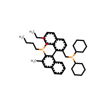 CCCCP(CCCC)c1c(C)cc2ccccc2c1-c1c(CP(C2CCCCC2)C2CCCCC2)ccc2ccccc12